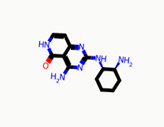 Nc1nc(N[C@@H]2CCCC[C@@H]2N)nc2cc[nH]c(=O)c12